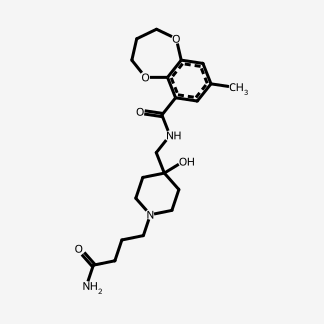 Cc1cc2c(c(C(=O)NCC3(O)CCN(CCCC(N)=O)CC3)c1)OCCCO2